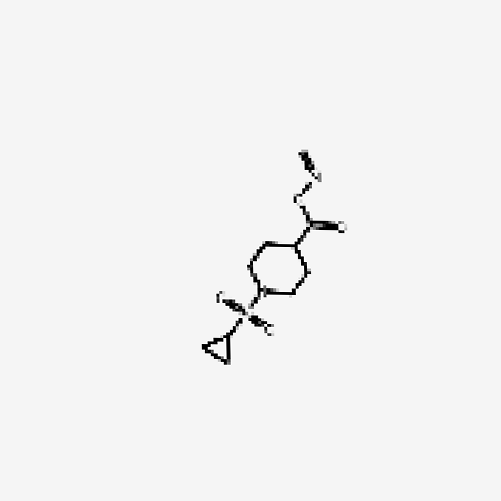 C=NOC(=O)C1CCN(S(=O)(=O)C2CC2)CC1